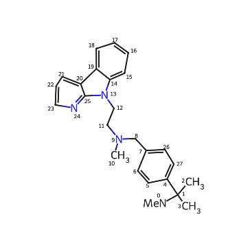 CNC(C)(C)c1ccc(CN(C)CCn2c3ccccc3c3cccnc32)cc1